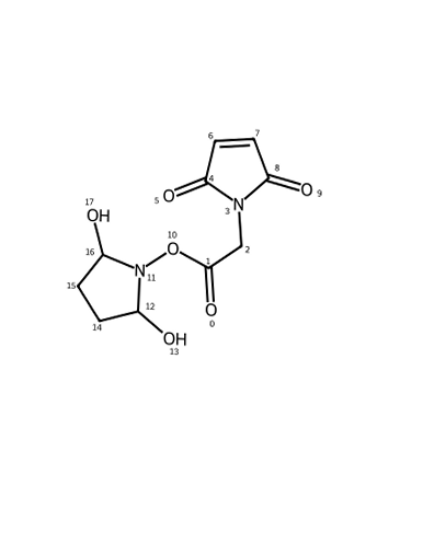 O=C(CN1C(=O)C=CC1=O)ON1C(O)CCC1O